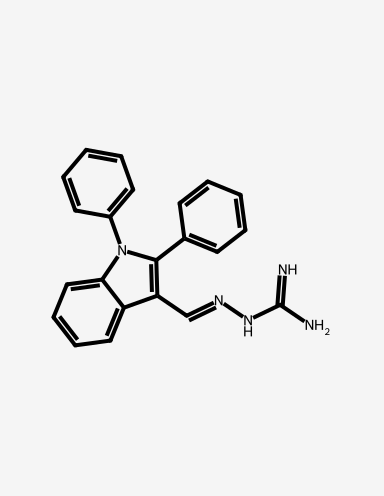 N=C(N)N/N=C/c1c(-c2ccccc2)n(-c2ccccc2)c2ccccc12